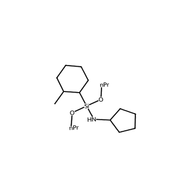 CCCO[Si](NC1CCCC1)(OCCC)C1CCCCC1C